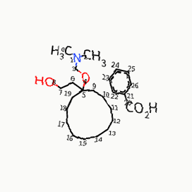 CN(C)COC1(CCO)CCCCCCCCCCC1.O=C(O)c1ccccc1